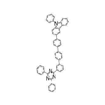 c1ccc(-c2nc(-c3ccccc3)nc(-c3cccc(-c4ccc(-c5ccc(-c6ccc7c(c6)c6ccccc6n7-c6ccccc6)cc5)cc4)c3)n2)cc1